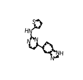 c1csc(Nc2nccc(-c3ccc4[nH]cnc4c3)n2)c1